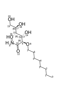 CCCCCCCCO[C@@H](C(N)=O)[C@@H](O)[C@H](O)[C@H](O)CO